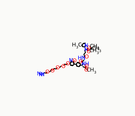 COC(=O)C[C@H](NC(=O)CNC(=O)CCCN(C(=O)OC(C)(C)C)c1cc(C)ccn1)c1ccc(-c2ccc(OCCOCCOCCOCCOCCN=[N+]=[N-])c3ncoc23)cc1